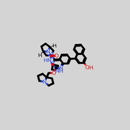 O=C(NC1CNC1)N1[C@@H]2CC[C@H]1CN(c1nc(OCC34CCCN3CCC4)nc3cc(-c4cc(O)cc5ccccc45)ccc13)C2